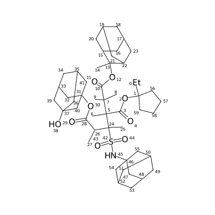 CCC1(OC(=O)C(C)(C(C)(C)C(=O)OC2(C)C3CC4CC(C3)CC2C4)C(C)(C(C)C(=O)OC23CC4CC(CC(O)(C4)C2)C3)S(=O)(=O)NC23CC4CC(CC(C4)C2)C3)CCCC1